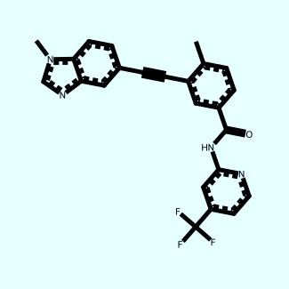 Cc1ccc(C(=O)Nc2cc(C(F)(F)F)ccn2)cc1C#Cc1ccc2c(c1)ncn2C